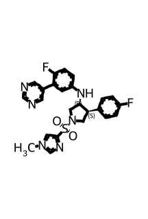 Cn1cnc(S(=O)(=O)N2C[C@H](Nc3ccc(F)c(-c4cncnc4)c3)[C@@H](c3ccc(F)cc3)C2)c1